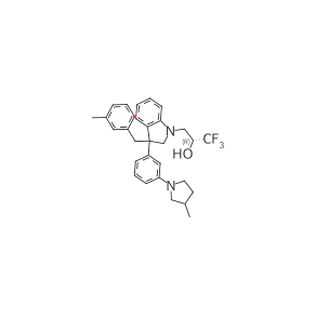 Cc1cccc(CC2(c3cccc(N4CCC(C)C4)c3)CN(C[C@@H](O)C(F)(F)F)c3ccccc32)c1